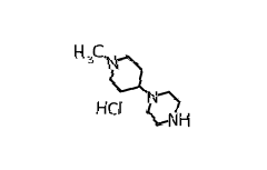 CN1CCC(N2CCNCC2)CC1.Cl